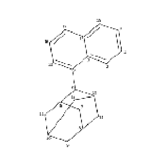 c1ccc2c(C3[C]4CC5CC(C4)CC3C5)cccc2c1